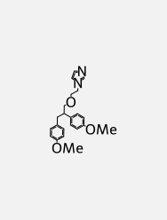 COc1ccc(CC(COCCn2ccnc2)c2ccc(OC)cc2)cc1